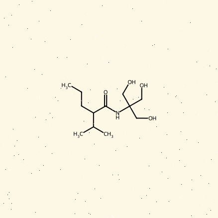 CCCC(C(=O)NC(CO)(CO)CO)C(C)C